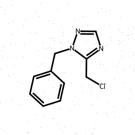 ClCc1ncnn1Cc1ccccc1